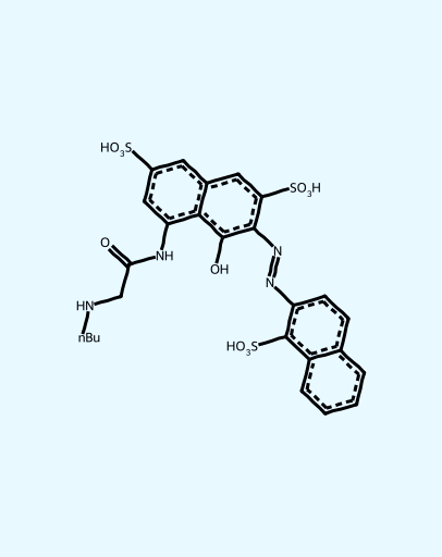 CCCCNCC(=O)Nc1cc(S(=O)(=O)O)cc2cc(S(=O)(=O)O)c(N=Nc3ccc4ccccc4c3S(=O)(=O)O)c(O)c12